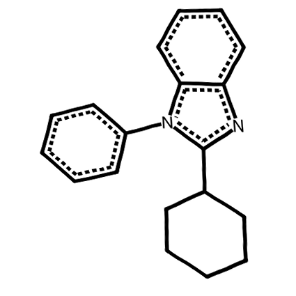 c1ccc(-n2c(C3CCCCC3)nc3ccccc32)cc1